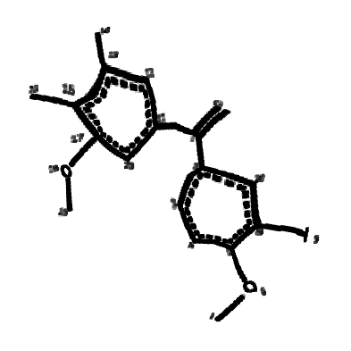 C=C(c1ccc(OC)c(I)c1)c1cc(C)c(C)c(OC)c1